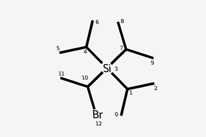 CC(C)[Si](C(C)C)(C(C)C)C(C)Br